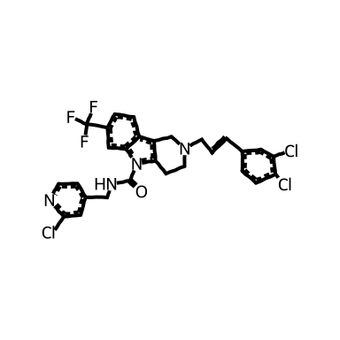 O=C(NCc1ccnc(Cl)c1)n1c2c(c3ccc(C(F)(F)F)cc31)CN(CC=Cc1ccc(Cl)c(Cl)c1)CC2